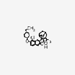 CC[C@H]1CC[C@@H](Oc2ccc3ccc(C(C)N4CC5CCC(C(=O)O)CC4CC5)cc3c2Cl)CC1